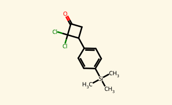 C[Si](C)(C)c1ccc(C2CC(=O)C2(Cl)Cl)cc1